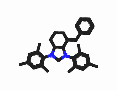 Cc1cc(C)c(N2[C]N(c3c(C)cc(C)cc3C)C3C(=Cc4ccccc4)CCCC32)c(C)c1